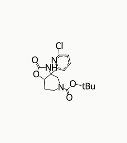 CC(C)(C)OC(=O)N1CCC2OC(=O)NC2(c2cccc(Cl)n2)C1